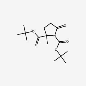 CC(C)(C)OC(=O)N1C(=O)CCC1(C)C(=O)OC(C)(C)C